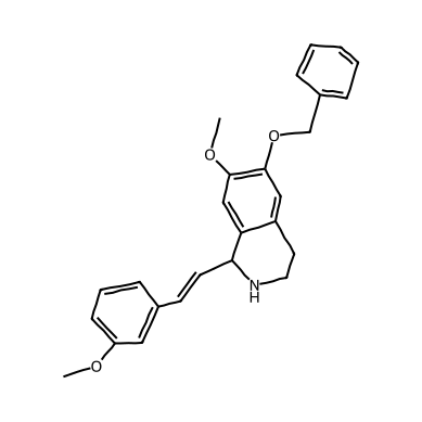 COc1cccc(/C=C/C2NCCc3cc(OCc4ccccc4)c(OC)cc32)c1